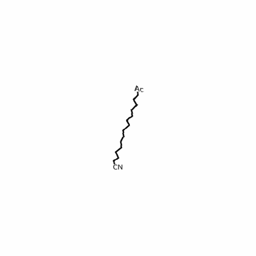 CC(=O)CCCCCCCCCCCCCCC#N